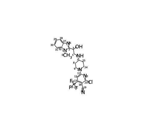 Cn1c(C(O)CNC2CCN(c3cc(C(F)(F)F)c(C#N)c(Cl)n3)CC2)nc2ccccc21